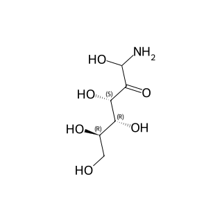 NC(O)C(=O)[C@@H](O)[C@H](O)[C@H](O)CO